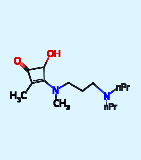 CCCN(CCC)CCCN(C)C1=C(C)C(=O)C1O